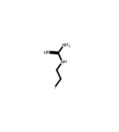 N=C(N)NCCI